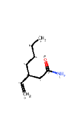 C=CC(CCCC)CC(N)=O